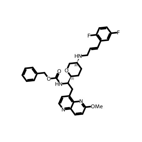 COc1ccc2nccc(CC(NC(=O)OCc3ccccc3)[C@@H]3CC[C@@H](NCC=Cc4cc(F)ccc4F)CO3)c2n1